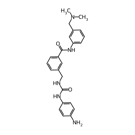 CN(C)Cc1cccc(NC(=O)c2cccc(CNC(=O)Nc3ccc(N)cc3)c2)c1